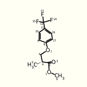 COC(=O)[C@H](C)COc1ccc(C(F)(F)F)cc1